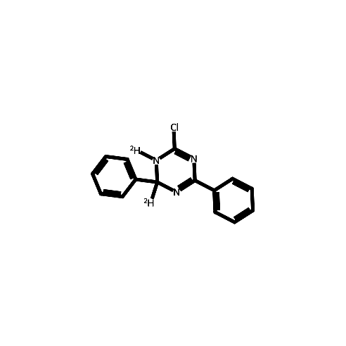 [2H]N1C(Cl)=NC(c2ccccc2)=NC1([2H])c1ccccc1